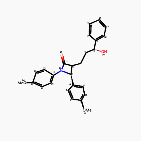 COc1ccc([C@@H]2C(CC[C@@H](O)c3ccccc3)C(=O)N2c2ccc(OC)cc2)cc1